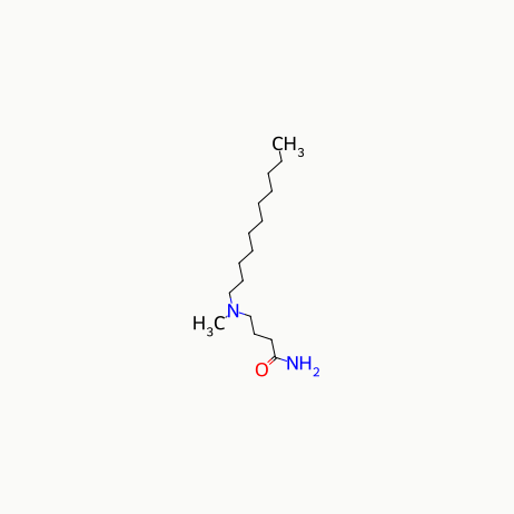 CCCCCCCCCCCN(C)CCCC(N)=O